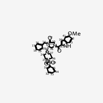 COc1ccc2[nH]c(C(=O)N3CC(=O)N(Cc4ccccc4)[C@@H](CN4CCN(S(=O)(=O)c5ccccc5)CC4)C3)cc2c1